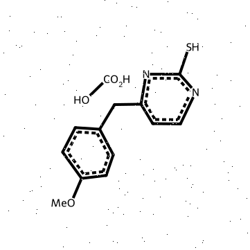 COc1ccc(Cc2ccnc(S)n2)cc1.O=C(O)O